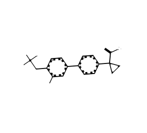 NC(=O)C1(c2ccc(-c3ccc(CC(O)(F)F)c(F)c3)cc2)CC1